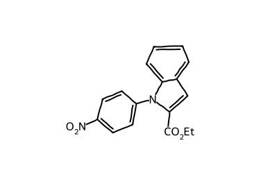 CCOC(=O)c1cc2ccccc2n1-c1ccc([N+](=O)[O-])cc1